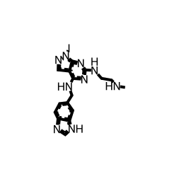 CNCCNc1nc(NCc2ccc3nc[nH]c3c2)c2cnn(I)c2n1